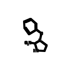 O=[N+]([O-])C1NCCN1Oc1ccccc1